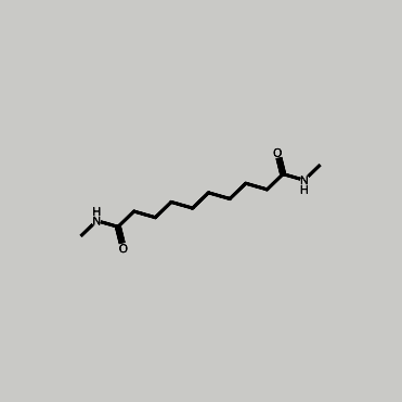 CNC(=O)CCCCCCCCC(=O)NC